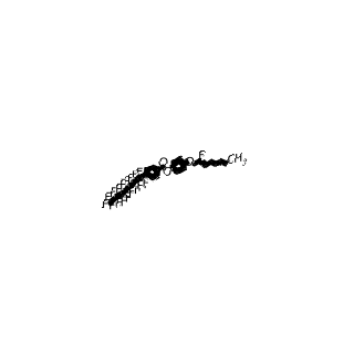 CCCCCCC(F)COc1ccc(OC(=O)c2ccc(C(F)(F)C(F)(F)C(F)(F)C(F)(F)C(F)(F)C(F)(F)C(F)(F)C(F)(F)F)cc2)cc1